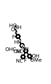 COc1ccc(-c2cnc(N3CCC(NCc4ccc(/C=C/C(=O)NO)c(F)c4)CC3)c(C#N)c2-c2ccc(C#N)c(F)c2)cc1O.O=CO